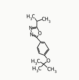 CC(C)c1nnc(-c2ccc(OC(C)(C)C)cc2)o1